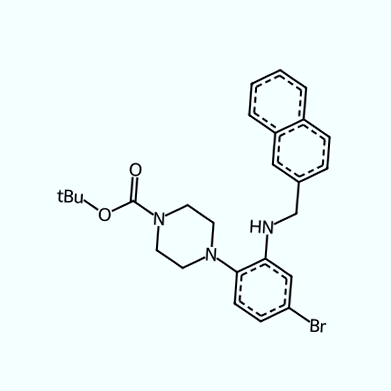 CC(C)(C)OC(=O)N1CCN(c2ccc(Br)cc2NCc2ccc3ccccc3c2)CC1